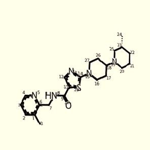 Cc1cccnc1CNC(=O)c1cnc(N2CCC(N3CCC[C@@H](C)C3)CC2)s1